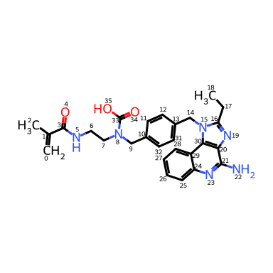 C=C(C)C(=O)NCCN(Cc1ccc(Cn2c(CC)nc3c(N)nc4ccccc4c32)cc1)C(=O)O